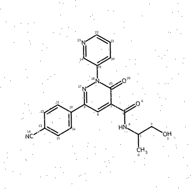 CC(CO)NC(=O)c1cc(-c2ccc(C#N)cc2)nn(-c2cccnc2)c1=O